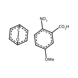 COc1ccc([N+](=O)[O-])c(C(=O)O)c1.c1cc2ccc1CO2